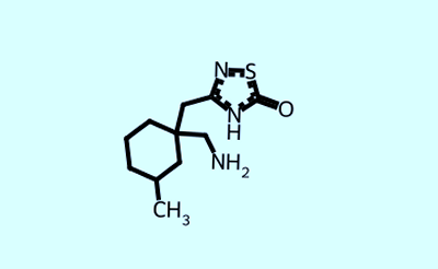 CC1CCCC(CN)(Cc2nsc(=O)[nH]2)C1